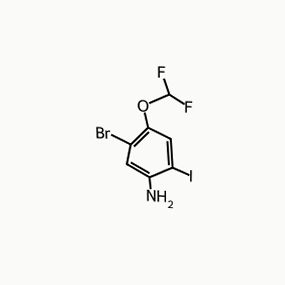 Nc1cc(Br)c(OC(F)F)cc1I